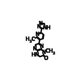 Cc1nc(-c2nnc[nH]2)ccc1-c1cnc2c(n1)N(C)C(=O)CN2